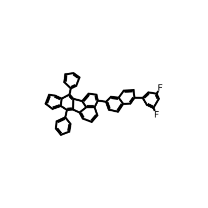 Fc1cc(F)cc(-c2ccc3cc(-c4ccc5c6c(cccc46)-c4c-5c(-c5ccccc5)c5ccccc5c4-c4ccccc4)ccc3c2)c1